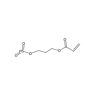 C=CC(=O)OCCCO[SH](=O)=O